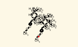 CCOCCOCCOc1ccc(CCC[C@@H](C(=O)OC)N2CCN([C@@H](COC(C)(C)C)C(=O)OC)CCN([C@H](COC(C)(C)C)C(=O)OC)CCN([C@@H](COC(C)(C)C)C(=O)OC)CC2)cc1.CCOCCOCCOc1ccc(CCC[C@@H](C(=O)OC)N2CCNCCN([C@H](COC(C)(C)C)C(=O)OC)CCNCC2)cc1